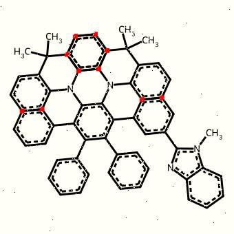 Cn1c(-c2cccc(-c3c(-c4ccccc4)c(-c4ccccc4)c(-c4ccccc4)c(N4c5ccccc5C(C)(C)c5ccccc54)c3N3c4ccccc4C(C)(C)c4ccccc43)c2)nc2ccccc21